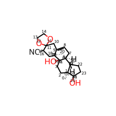 C[C@]12CC[C@@]3(O)[C@@H](CC=C4CC5(OCCO5)C(C#N)C[C@@]43C)[C@@H]1CC[C@H]2O